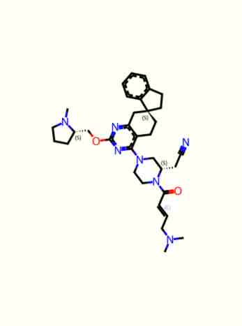 CN(C)C/C=C/C(=O)N1CCN(c2nc(OC[C@@H]3CCCN3C)nc3c2CC[C@@]2(CCc4ccccc42)C3)C[C@@H]1CC#N